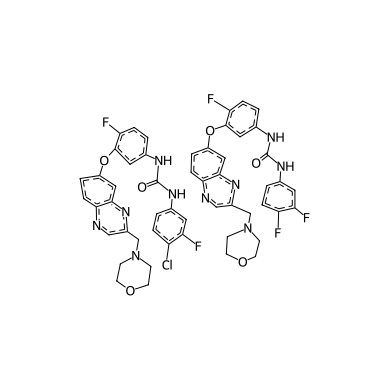 O=C(Nc1ccc(Cl)c(F)c1)Nc1ccc(F)c(Oc2ccc3ncc(CN4CCOCC4)nc3c2)c1.O=C(Nc1ccc(F)c(F)c1)Nc1ccc(F)c(Oc2ccc3ncc(CN4CCOCC4)nc3c2)c1